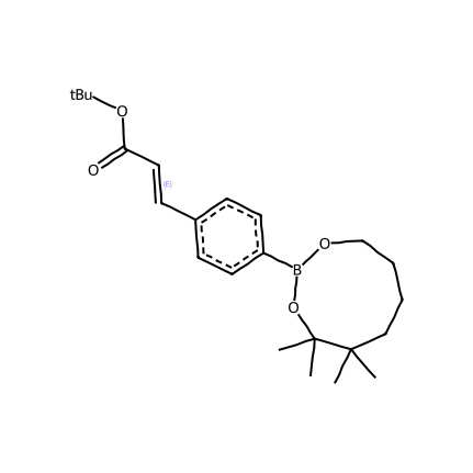 CC(C)(C)OC(=O)/C=C/c1ccc(B2OCCCCC(C)(C)C(C)(C)O2)cc1